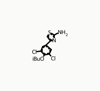 CC(C)COc1c(Cl)cc(-c2csc(N)n2)cc1Cl